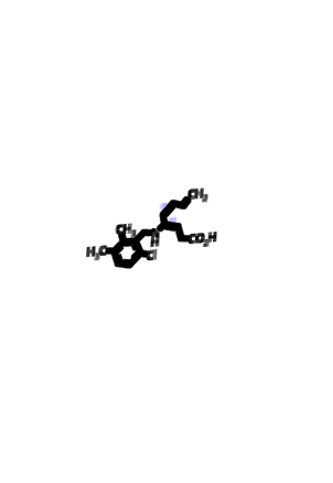 C=C/C=C\C(=C\CC(=O)O)NCc1c(Cl)ccc(C)c1C